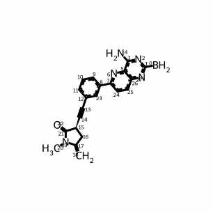 Bc1nc(N)c2nc(-c3cccc(C#C[C@H]4CC(=C)N(C)C4=O)c3)ccc2n1